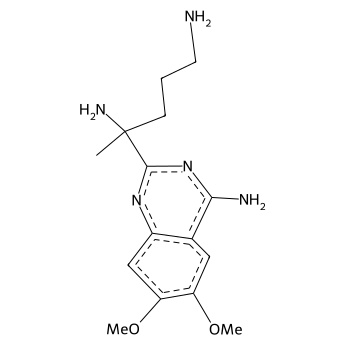 COc1cc2nc(C(C)(N)CCCN)nc(N)c2cc1OC